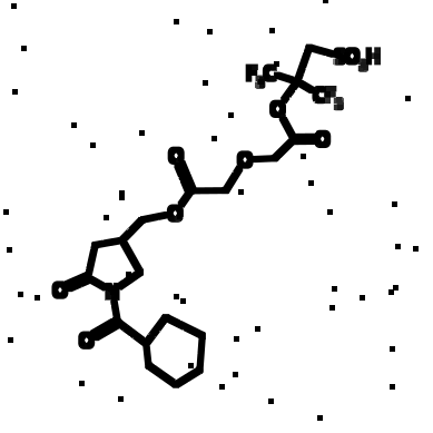 O=C(COCC(=O)OC(CS(=O)(=O)O)(C(F)(F)F)C(F)(F)F)OCC1CC(=O)N(C(=O)C2CCCCC2)C1